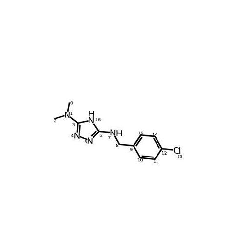 CN(C)c1nnc(NCc2ccc(Cl)cc2)[nH]1